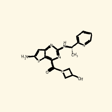 C[C@H](Nc1nc(C(=O)N2CC(O)C2)c2sc(N)cc2n1)c1ccccn1